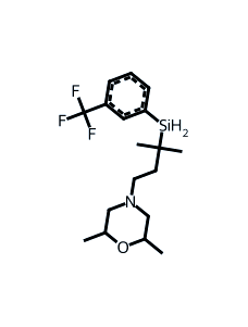 CC1CN(CCC(C)(C)[SiH2]c2cccc(C(F)(F)F)c2)CC(C)O1